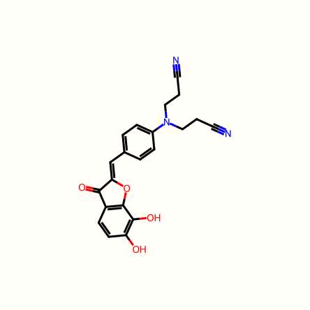 N#CCCN(CCC#N)c1ccc(C=C2Oc3c(ccc(O)c3O)C2=O)cc1